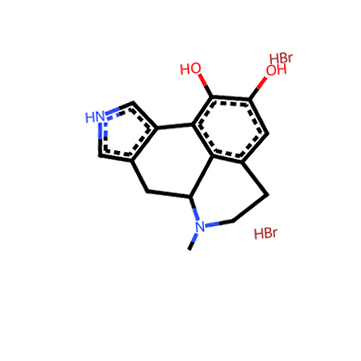 Br.Br.CN1CCc2cc(O)c(O)c3c2C1Cc1c[nH]cc1-3